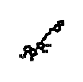 Nc1ncnc2c1c(Br)cn2[C@@H]1O[C@H](/C=C/CCCN2CCC3(CCC3)C2)[C@@H](O)[C@H]1O